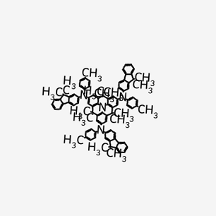 Cc1ccc(N(C2=CC3=C4N5c6c(cc(N(c7ccc(C)cc7)c7ccc8c(c7)C(C)(C)c7ccccc7-8)cc6C(C)(C)c6cc(N(c7ccc(C)cc7)c7ccc8c(c7)C(C)(C)c7ccccc7-8)cc(c65)C(C)(C)C4(C)C2)C3(C)C)c2ccc3c(c2)C(C)(C)c2ccccc2-3)cc1